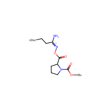 CCCCCCCCCCCC/C(N)=N\OC(=O)C1CCCN1C(=O)OC(C)(C)C